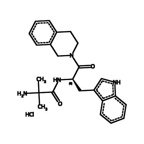 CC(C)(N)C(=O)N[C@H](Cc1c[nH]c2ccccc12)C(=O)N1CCc2ccccc2C1.Cl